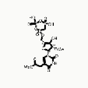 COC(=O)Cc1cn([C@@H]2O[C@H](COP3(=O)CP(=O)(O)OP(=O)(O)O3)C(O)[C@@H]2OC)c(=O)[nH]c1=O